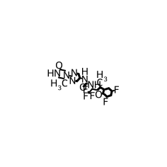 Cc1c([C@@H](NC(=O)Nc2cnc(N3CC(=O)NC[C@@H]3C)nc2)C(F)(F)F)oc2c(F)cc(F)cc12